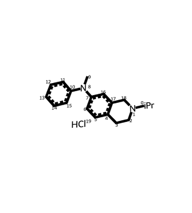 CC(C)N1CCc2ccc(N(C)c3ccccc3)cc2C1.Cl